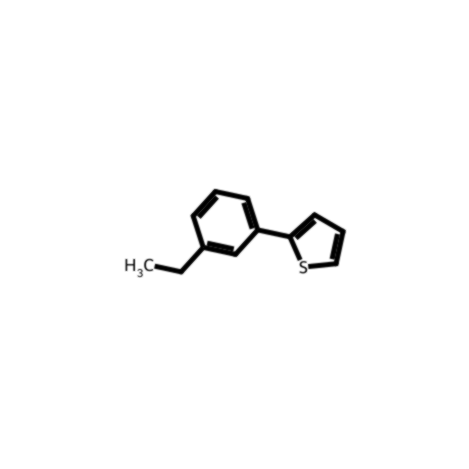 CCc1cccc(-c2cccs2)c1